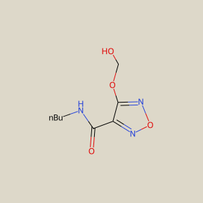 CCCCNC(=O)c1nonc1OCO